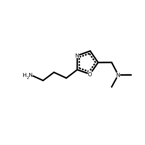 CN(C)Cc1cnc(CCCN)o1